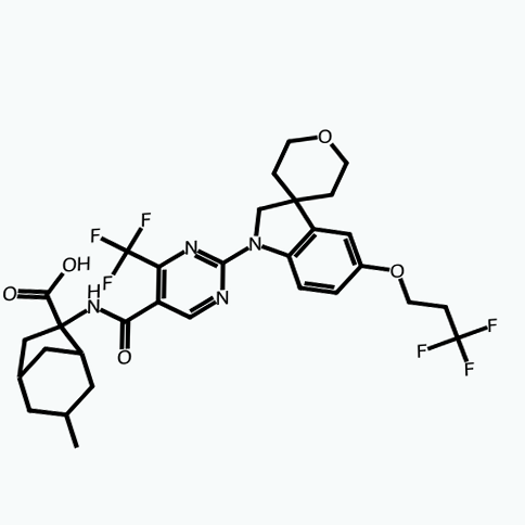 CC1CC2CC(C1)C(NC(=O)c1cnc(N3CC4(CCOCC4)c4cc(OCCC(F)(F)F)ccc43)nc1C(F)(F)F)(C(=O)O)C2